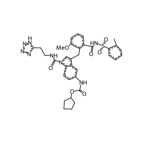 COc1cccc(C(=O)NS(=O)(=O)c2ccccc2C)c1Cc1cn(C(=O)NCCc2nnn[nH]2)c2ccc(NC(=O)OC3CCCC3)cc12